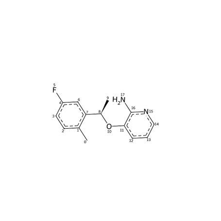 Cc1ccc(F)cc1[C@@H](C)Oc1cccnc1N